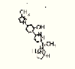 Cc1ccn(-c2ccc(-c3ccc(N(C)[C@H]4C[C@H]5CC[C@@H](C4)N5)nn3)c(O)c2)n1